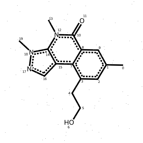 Cc1cc(CCO)c2c(c1)c(=O)n(C)c1c2cnn1C